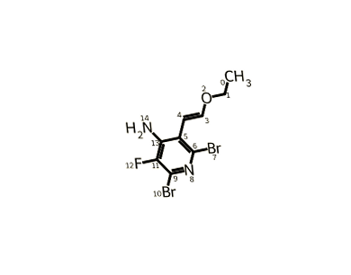 CCO/C=C/c1c(Br)nc(Br)c(F)c1N